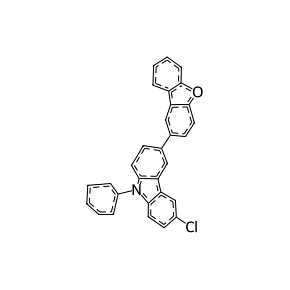 Clc1ccc2c(c1)c1cc(-c3ccc4oc5ccccc5c4c3)ccc1n2-c1ccccc1